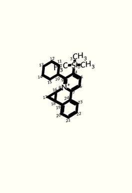 C[Si](C)(C)c1ccc2[n+](c1C1CCCCC1)C1CC1c1ccccc1-2